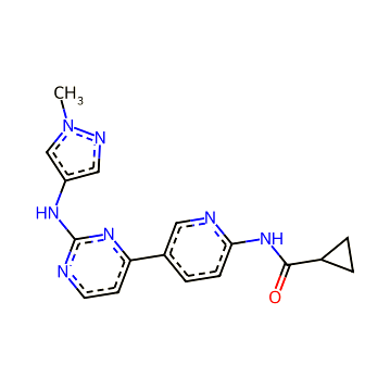 Cn1cc(Nc2nccc(-c3ccc(NC(=O)C4CC4)nc3)n2)cn1